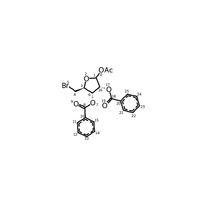 CC(=O)OC1O[C@H](CBr)[C@@H](OC(=O)c2ccccc2)[C@H]1OC(=O)c1ccccc1